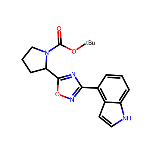 CC(C)(C)OC(=O)N1CCCC1c1nc(-c2cccc3[nH]ccc23)no1